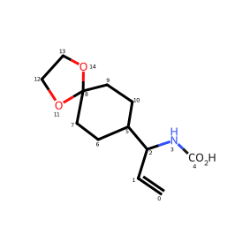 C=CC(NC(=O)O)C1CCC2(CC1)OCCO2